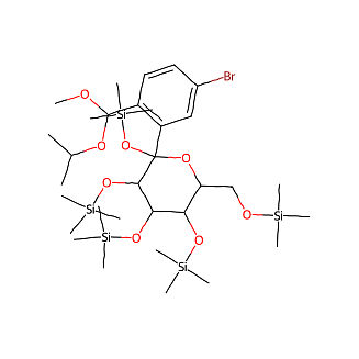 COC(OC(C)C)c1ccc(Br)cc1C1(O[Si](C)(C)C)OC(CO[Si](C)(C)C)C(O[Si](C)(C)C)C(O[Si](C)(C)C)C1O[Si](C)(C)C